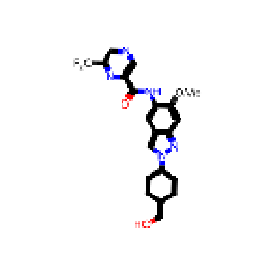 COc1cc2nn(C3CCC(CO)CC3)cc2cc1NC(=O)c1cncc(C(F)(F)F)n1